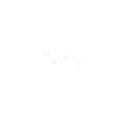 O=C(Nc1nc([C@H]2CCCN2c2ccc(NC(=O)C3CC3)cc2)cs1)c1cccn1Cc1ccnc(F)c1